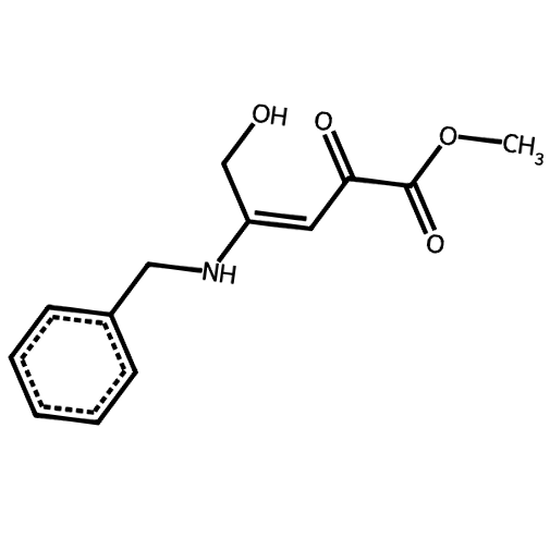 COC(=O)C(=O)C=C(CO)NCc1ccccc1